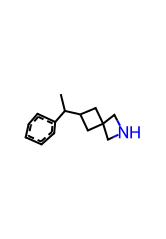 CC(c1ccccc1)C1CC2(CNC2)C1